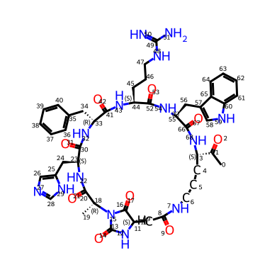 CC(=O)[C@@H]1CCCNC(=O)C[C@@H]2NC(=O)N(C2=O)[C@H](C)C(=O)N[C@@H](Cc2cnc[nH]2)C(=O)N[C@H](Cc2ccccc2)C(=O)N[C@@H](CCCNC(=N)N)C(=O)N[C@@H](Cc2c[nH]c3ccccc23)C(=O)N1